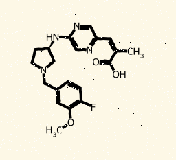 COc1cc(CN2CC[C@@H](Nc3cnc(C=C(C)C(=O)O)cn3)C2)ccc1F